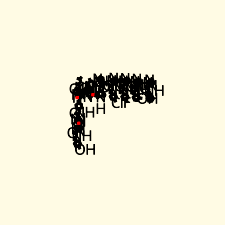 CC(C)CCNC(=O)c1nccnn1.CC(C)CNC(=O)c1nccnn1.CC1(C)CC(NC(=O)c2nccnn2)CC(C)(C)N1.CC1CCC(NC(=O)c2nccnn2)CC1.O=C(NCc1ccc(Cl)cc1)c1nccnn1.O=C(NCc1ccc(F)cc1)c1nccnn1.O=C(NCc1ccc(O)cc1)c1nccnn1.O=C(NCc1cccc(O)c1)c1nccnn1.O=C(NCc1ccccc1)c1nccnn1